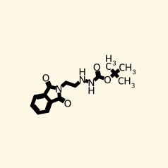 CC(C)(C)OC(=O)NNCCN1C(=O)c2ccccc2C1=O